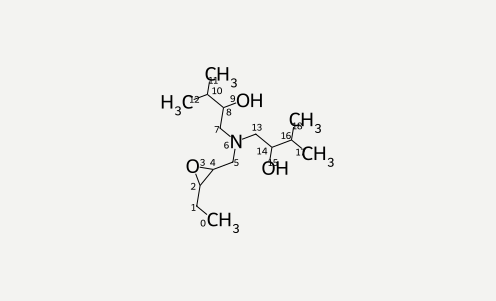 CCC1OC1CN(CC(O)C(C)C)CC(O)C(C)C